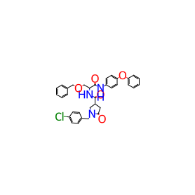 O=C(NC(COCc1ccccc1)C(=O)Nc1ccc(Oc2ccccc2)cc1)C1CC(=O)N(Cc2ccc(Cl)cc2)C1